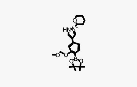 COCOc1cc(-c2c[nH][n+](C3CCCCO3)c2)ccc1B1OC(C)(C)C(C)(C)O1